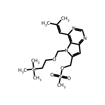 CC(C)=Cc1ncnc2cc(COS(C)(=O)=O)n(COCC[Si](C)(C)C)c12